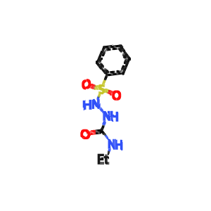 CCNC(=O)NNS(=O)(=O)c1ccccc1